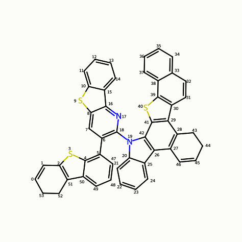 C1=Cc2sc3c(-c4cc5sc6ccccc6c5nc4-n4c5ccccc5c5c6c(c7c8ccc9ccccc9c8sc7c54)CCC=C6)cccc3c2CC1